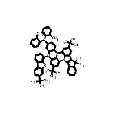 Cc1ccccc1N(c1ccc2c(c1)N(c1cccc3c1oc1cc(C(C)(C)C)ccc13)c1cc(C(C)(C)C)cc3c1B2c1cc(C(C)(C)C)cc2c4c(n-3c12)-c1ccccc1C4(C)C)c1ccccc1C